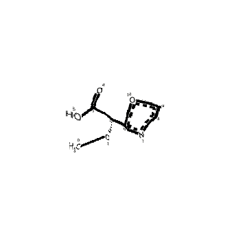 CO[C@H](C(=O)O)c1ncco1